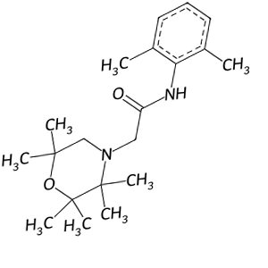 Cc1cccc(C)c1NC(=O)CN1CC(C)(C)OC(C)(C)C1(C)C